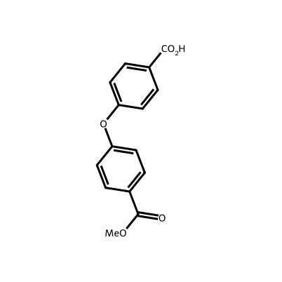 COC(=O)c1ccc(Oc2ccc(C(=O)O)cc2)cc1